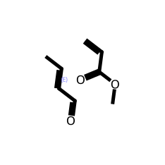 C/C=C/C=O.C=CC(=O)OC